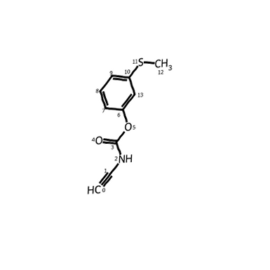 C#CNC(=O)Oc1cccc(SC)c1